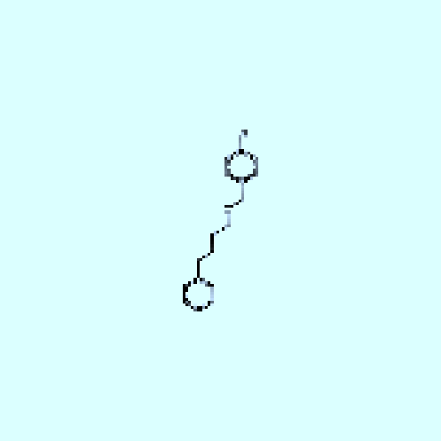 Oc1ccc(COCCCCc2ccccc2)cc1